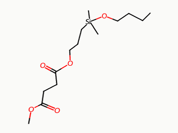 CCCCO[Si](C)(C)CCCOC(=O)CCC(=O)OC